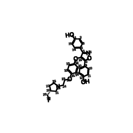 Oc1ccc(-c2noc(-c3ccc(O)cc3)c2Oc2ccc(OCCN3CC[C@@H](CF)C3)cc2)cc1